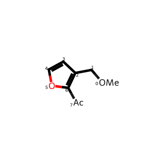 COCc1ccoc1C(C)=O